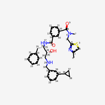 Cc1csc(CN(C)C(=O)c2cccc(C(=O)N[C@@H](Cc3ccccc3)[C@H](O)CNCc3cccc(C4CC4)c3)c2)n1